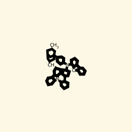 C[C@H]1CC2C[C@H](C)CC(c3ccc(N(c4ccc(-c5ccccc5-n5c6ccccc6c6ccccc65)cc4)c4cccc5c4oc4ccccc45)cc3)(C2)C1